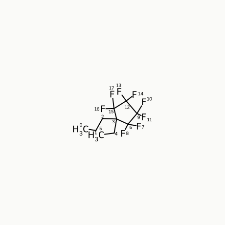 CCCC1(CC)C(F)(F)C(F)(F)C(F)(F)C1(F)F